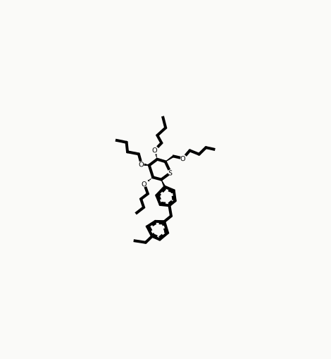 CCCCOC[C@H]1S[C@@H](c2ccc(Cc3ccc(CC)cc3)cc2)[C@H](OCCCC)[C@@H](OCCCC)[C@@H]1OCCCC